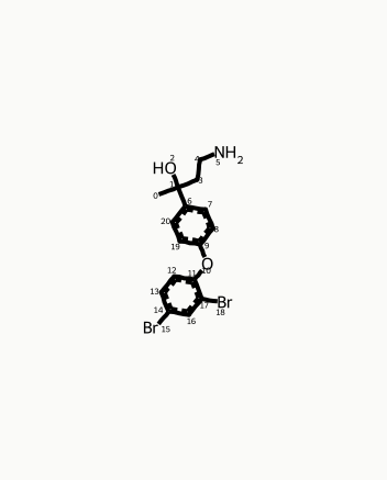 CC(O)(CCN)c1ccc(Oc2ccc(Br)cc2Br)cc1